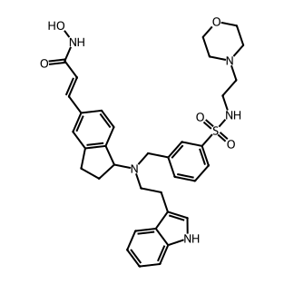 O=C(C=Cc1ccc2c(c1)CCC2N(CCc1c[nH]c2ccccc12)Cc1cccc(S(=O)(=O)NCCN2CCOCC2)c1)NO